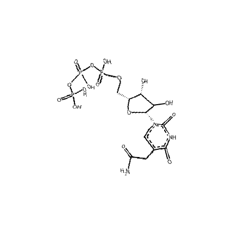 NC(=O)Cc1cn([C@@H]2O[C@H](COP(=O)(O)OP(=O)(O)OP(=O)(O)O)[C@H](O)C2O)c(=O)[nH]c1=O